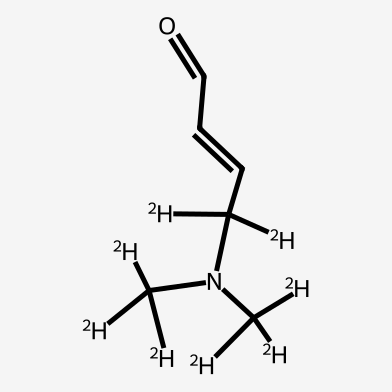 [2H]C([2H])([2H])N(C([2H])([2H])[2H])C([2H])([2H])C=CC=O